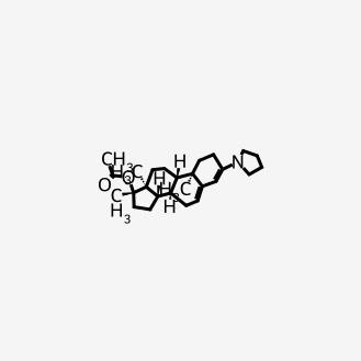 CC(=O)O[C@@]1(C)CC[C@H]2[C@@H]3CC=C4C=C(N5CCCC5)CC[C@]4(C)[C@H]3CC[C@@]21C